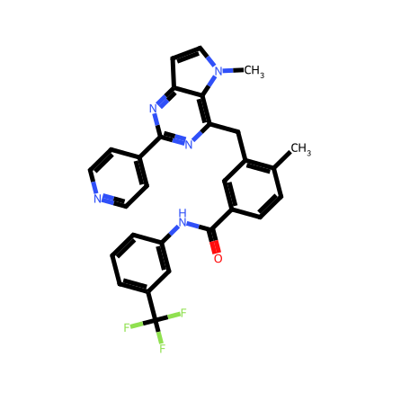 Cc1ccc(C(=O)Nc2cccc(C(F)(F)F)c2)cc1Cc1nc(-c2ccncc2)nc2ccn(C)c12